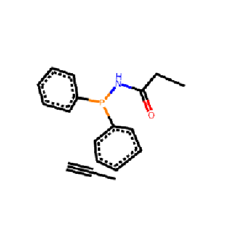 C#CC.CCC(=O)NP(c1ccccc1)c1ccccc1